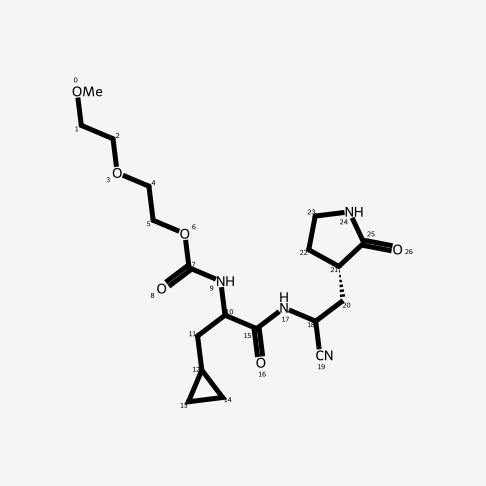 COCCOCCOC(=O)NC(CC1CC1)C(=O)NC(C#N)C[C@@H]1CCNC1=O